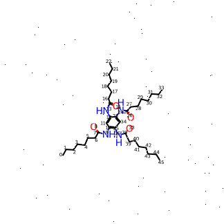 CCCCCCCC(=O)Nc1cc(NC(=O)CCCCCCC)c(NC(=O)CCCCCCC)cc1NC(=O)CCCCCCC